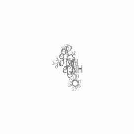 CC(C)(C)OC(=O)C1C(C2OCCO2)=CS[C@@H]2C(NC(=O)Cc3ccccc3)C(=O)N12